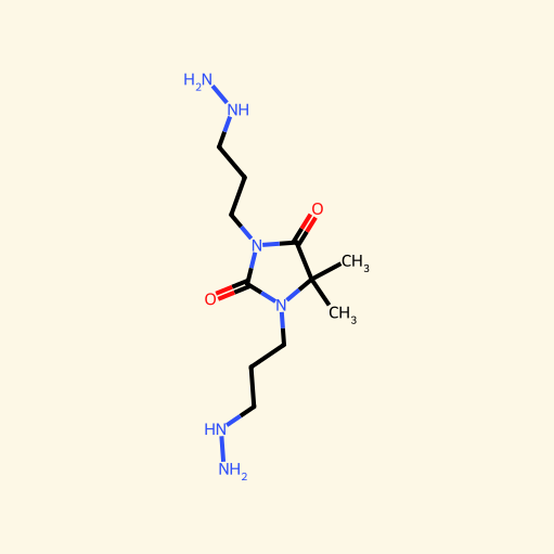 CC1(C)C(=O)N(CCCNN)C(=O)N1CCCNN